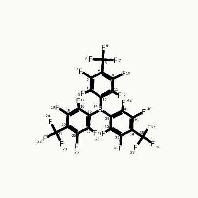 Fc1c(F)c(C(F)(F)F)c(F)c(F)c1B(c1c(F)c(F)c(C(F)(F)F)c(F)c1F)c1c(F)c(F)c(C(F)(F)F)c(F)c1F